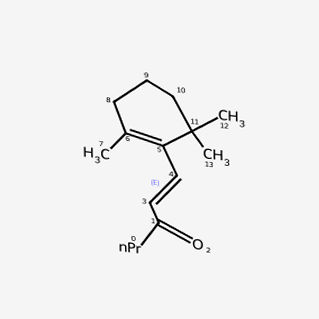 CCCC(=O)/C=C/C1=C(C)CCCC1(C)C